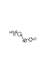 CN(C(=O)O)C1CCN(CCc2cc(-c3ccc(Cl)cc3)on2)CC1